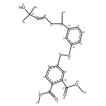 COC(=O)c1ccc(COc2cccc(C(C)CC=CC(C)(C)O)c2)cc1C(=O)OC